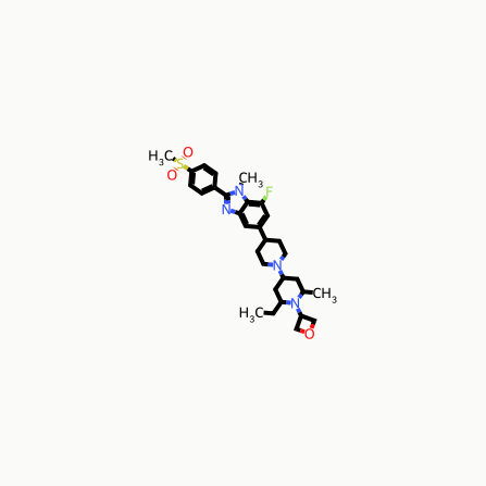 CCC1CC(N2CCC(c3cc(F)c4c(c3)nc(-c3ccc(S(C)(=O)=O)cc3)n4C)CC2)CC(C)N1C1COC1